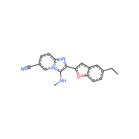 CCc1ccc2oc(-c3nc4ccc(C#N)cn4c3NC)cc2c1